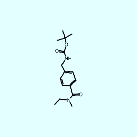 CCN(C)C(=O)c1ccc(CNC(=O)OC(C)(C)C)cc1